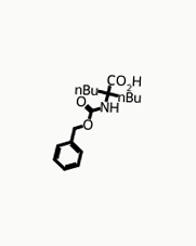 CCCCC(CCCC)(NC(=O)OCc1ccccc1)C(=O)O